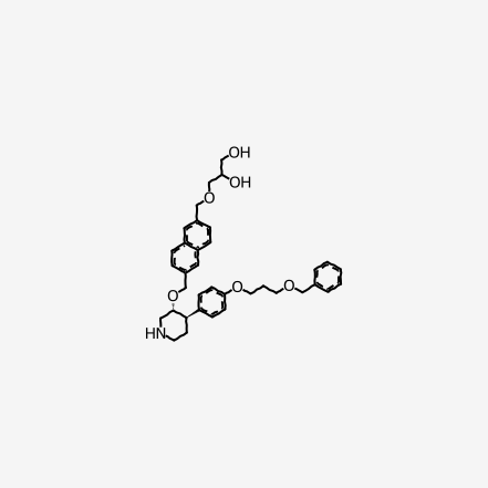 OCC(O)COCc1ccc2cc(CO[C@H]3CNCC[C@@H]3c3ccc(OCCCOCc4ccccc4)cc3)ccc2c1